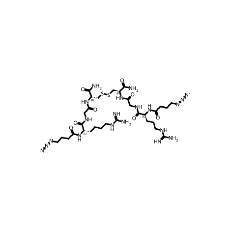 [N-]=[N+]=NCCCC(=O)N[C@@H](CCCCNC(=N)N)C(=O)NCC(=O)N[C@@H](CSSC[C@H](NC(=O)CNC(=O)[C@H](CCCNC(=N)N)NC(=O)CCCN=[N+]=[N-])C(N)=O)C(N)=O